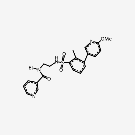 CCN(CCNS(=O)(=O)c1cccc(-c2ccc(OC)nc2)c1C)C(=O)c1cccnc1